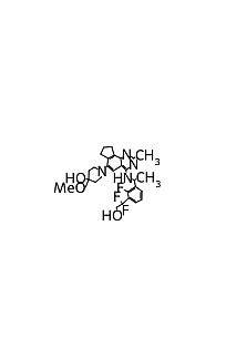 COCC1(O)CCN(c2cc3c(NC(C)c4cccc(C(F)(F)CO)c4F)nc(C)nc3c3c2CCC3)CC1